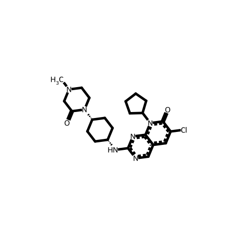 CN1CCN([C@H]2CC[C@@H](Nc3ncc4cc(Cl)c(=O)n(C5CCCC5)c4n3)CC2)C(=O)C1